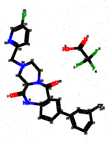 O=C(O)C(F)(F)F.O=C1Nc2ccc(-c3cccc(C(F)(F)F)c3)cc2C(=O)N2CCN(Cc3ccc(Cl)cn3)CC12